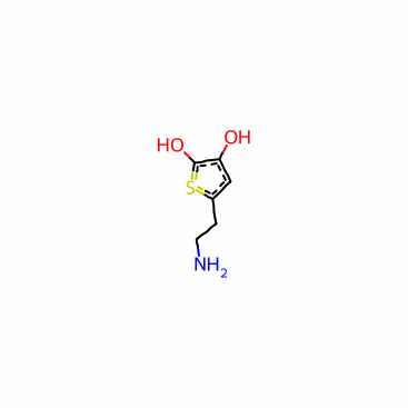 NCCc1cc(O)c(O)s1